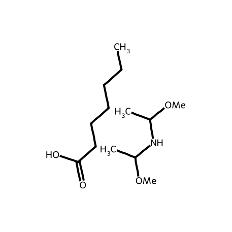 CCCCCCC(=O)O.COC(C)NC(C)OC